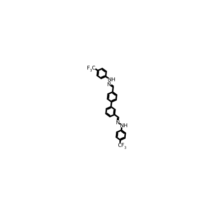 FC(F)(F)c1ccc(N/N=C/c2ccc(-c3cccc(/C=N/Nc4ccc(C(F)(F)F)cc4)c3)cc2)cc1